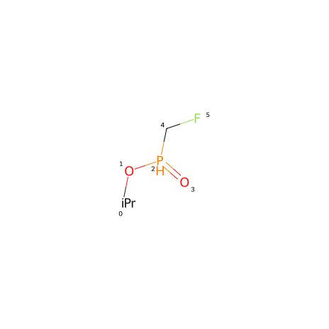 CC(C)O[PH](=O)CF